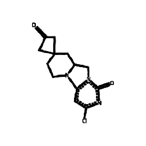 O=C1CC2(CCN3c4cc(Cl)nc(=O)n4CC3C2)C1